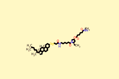 CC[C@@H]1C[C@@H](OC(=O)CCCCC(=O)NC)CN1C(=O)CCCCCNC(=O)CCSS[C@H]1CC[C@@]2(C)C(=CCC3C2CC[C@@]2(C)C3CC[C@@H]2[C@H](C)CCCC(C)C)C1